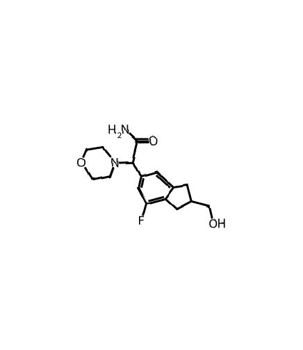 NC(=O)C(c1cc(F)c2c(c1)CC(CO)C2)N1CCOCC1